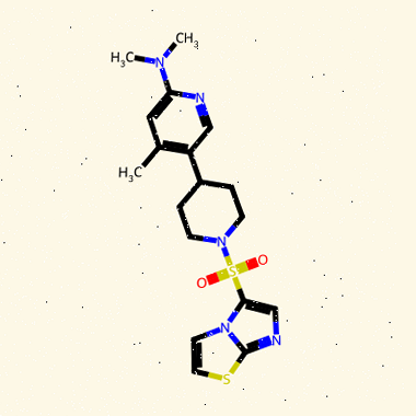 Cc1cc(N(C)C)ncc1C1CCN(S(=O)(=O)c2cnc3sccn23)CC1